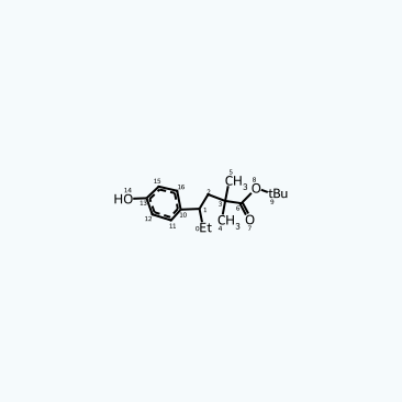 CCC(CC(C)(C)C(=O)OC(C)(C)C)c1ccc(O)cc1